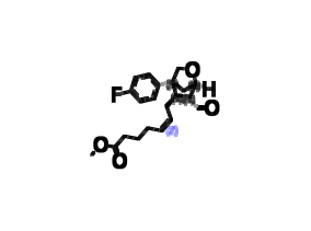 COC(=O)CCC/C=C\C[C@@H]1[C@@H](C=O)[C@H]2C[C@]1(c1ccc(F)cc1)CO2